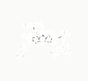 CC(C)=CCc1c(OCC(C)CN2CCCCC2)cc2oc3cc(OCC(O)CN4CCCCC4)c(C)c(CC=C(C)C)c3c(=O)c2c1O